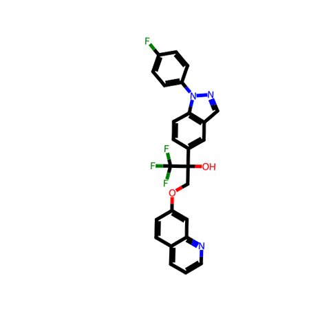 OC(COc1ccc2cccnc2c1)(c1ccc2c(cnn2-c2ccc(F)cc2)c1)C(F)(F)F